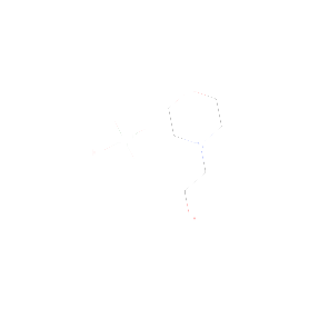 OCCN1CCOCC1.[O-][Cl+3]([O-])([O-])O